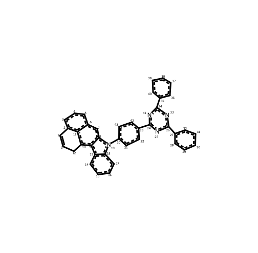 C1=Cc2cccc3cc4c(c(c23)C1)c1ccccc1n4-c1ccc(-c2nc(-c3ccccc3)nc(-c3ccccc3)n2)cc1